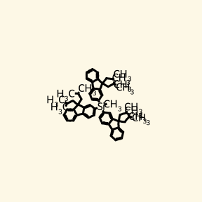 CC(C)CC1(CC(C)C)c2ccccc2-c2ccc([Si](C)(c3ccc4c(c3)C(CC(C)C)(CC(C)C)c3ccccc3-4)c3ccc4c(c3)C(CC(C)C)(CC(C)C)c3ccccc3-4)cc21